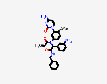 C=CC(=O)N(c1ccc(OC)c(-n2ccc(N)nc2=O)c1)C(C(=O)NCc1ccccc1)c1cccc(N)c1